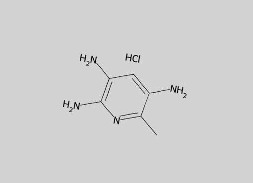 Cc1nc(N)c(N)cc1N.Cl